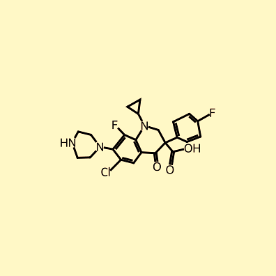 O=C(O)C1(c2ccc(F)cc2)CN(C2CC2)c2c(cc(Cl)c(N3CCNCC3)c2F)C1=O